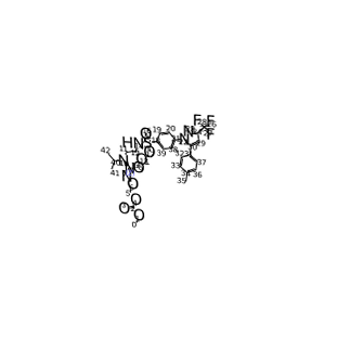 COC(=O)OCO/N=[N+](\[O-])N(CC(=O)NS(=O)(=O)c1ccc(-n2nc(C(F)(F)F)cc2-c2ccc(C)cc2)cc1)C(C)C